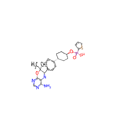 CC1(C)Oc2ncnc(N)c2N=C1c1ccc([C@H]2CC[C@H](OP(=O)(O)c3cccs3)CC2)cc1